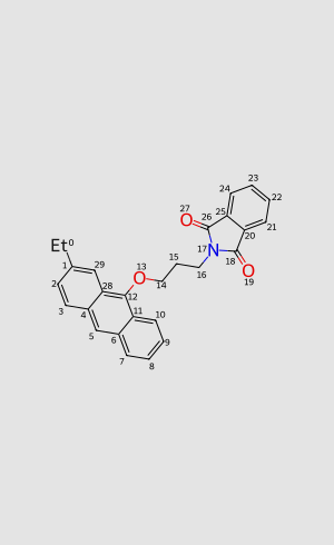 CCc1ccc2cc3ccccc3c(OCCCN3C(=O)c4ccccc4C3=O)c2c1